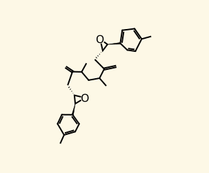 C=C(C[C@@H]1O[C@H]1c1ccc(C)cc1)C(C)CC(C)C(=C)C[C@@H]1O[C@H]1c1ccc(C)cc1